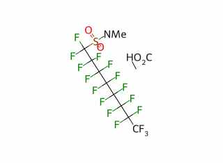 CC(=O)O.CNS(=O)(=O)C(F)(F)C(F)(F)C(F)(F)C(F)(F)C(F)(F)C(F)(F)C(F)(F)C(F)(F)F